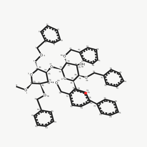 CO[C@H]1O[C@H](COCc2ccccc2)[C@@H](O[C@@H]2O[C@H](COCc3ccccc3)[C@H](OCc3ccccc3)[C@H](O)[C@H]2OCc2ccccc2)[C@H](OCc2ccccc2)[C@H]1OCc1ccccc1